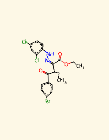 CCOC(=O)C(=NNc1ccc(Cl)cc1Cl)C(CC)C(=O)c1ccc(Br)cc1